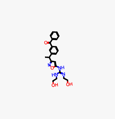 CC(c1cccc(C(=O)c2ccccc2)c1)c1cc(N/C(=N/CCO)NCCO)on1